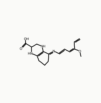 C=C\C(=C/C=C/N=C1\CCCC2=C1NCC(C(=O)O)N2)OC